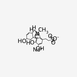 CN1CC[C@]23c4c5c(CCS(=O)(=O)[O-])cc(O)c4O[C@H]2[C@@H](O)C=C[C@H]3[C@H]1C5.[Na+]